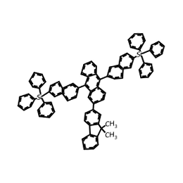 CC1(C)c2ccccc2-c2ccc(-c3ccc4c(-c5ccc6cc([Si](c7ccccc7)(c7ccccc7)c7ccccc7)ccc6c5)c5ccccc5c(-c5ccc6cc([Si](c7ccccc7)(c7ccccc7)c7ccccc7)ccc6c5)c4c3)cc21